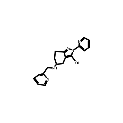 Oc1c2c(nn1-c1ccccn1)CCC(NCc1ccccn1)C2